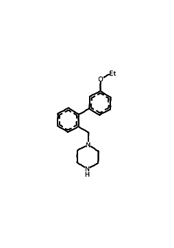 CCOc1cccc(-c2ccccc2CN2CCNCC2)c1